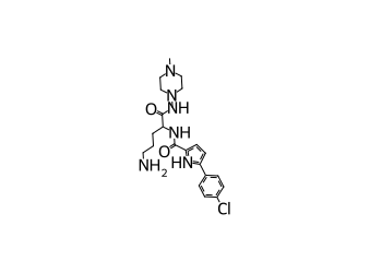 CN1CCN(NC(=O)C(CCCN)NC(=O)c2ccc(-c3ccc(Cl)cc3)[nH]2)CC1